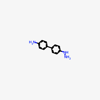 NNc1ccc(-c2ccc(N)cc2)cc1